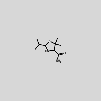 CC(C)C1NC(C(N)=O)C(C)(C)S1